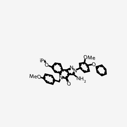 COc1ccc(Cn2c(=O)c3c(N)n(-c4ccc(Oc5ccccc5)c(OC)c4)nc3c3ccc(OC(C)C)cc32)cc1